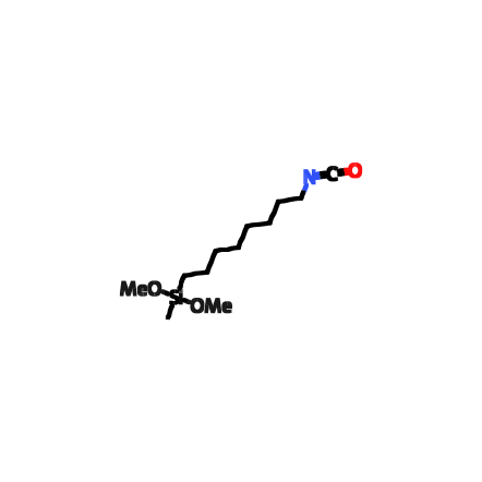 CO[Si](C)(CCCCCCCCN=C=O)OC